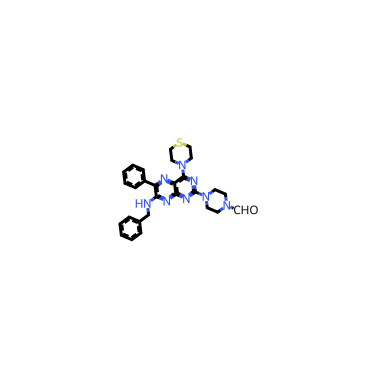 O=CN1CCN(c2nc(N3CCSCC3)c3nc(-c4ccccc4)c(NCc4ccccc4)nc3n2)CC1